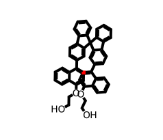 OCCOc1ccc(-c2ccc3c(c2)C2(c4ccccc4-3)c3ccccc3-c3ccc(-c4ccc(OCCO)c5ccccc45)cc32)c2ccccc12